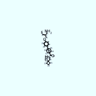 NCC(=CF)COc1ccc(C23CCC(C(=O)NCC4(O)CCC4)(CC2)CC3)cc1